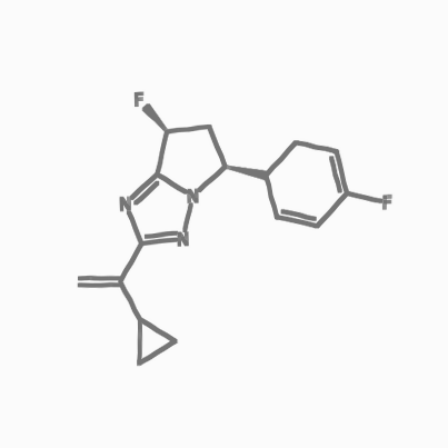 C=C(c1nc2n(n1)[C@H](C1C=CC(F)=CC1)C[C@@H]2F)C1CC1